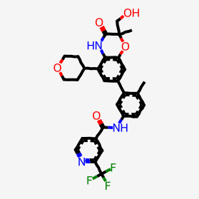 Cc1ccc(NC(=O)c2ccnc(C(F)(F)F)c2)cc1-c1cc2c(c(C3CCOCC3)c1)NC(=O)C(C)(CO)O2